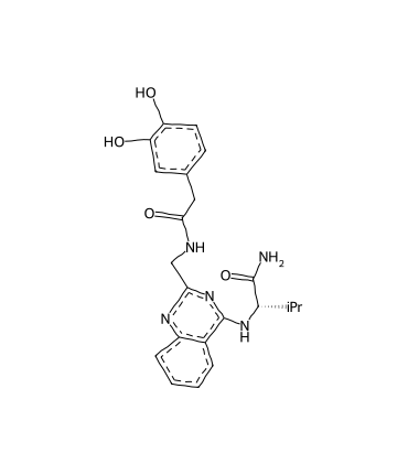 CC(C)[C@H](Nc1nc(CNC(=O)Cc2ccc(O)c(O)c2)nc2ccccc12)C(N)=O